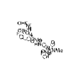 CNC(C(=O)N1Cc2ccc(NC(=O)CNC(=O)C3(C)CN(C(=O)CN4CC(C)N(C=O)C[C@@H]4CN4CCOCC4C)c4cc(Cc5ccc(F)cc5)ccc43)cc2C1C(=O)Nc1c(F)cccc1F)C1CCOCC1